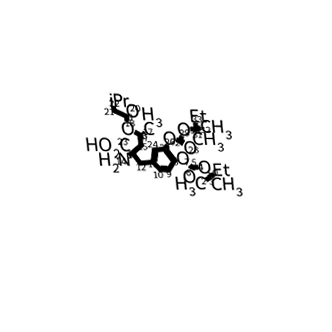 CCC(C)(C)OC(=O)Oc1ccc(CC(N)(C[C@H](C)OC(=O)CC(C)C)C(=O)O)cc1OC(=O)OC(C)(C)CC